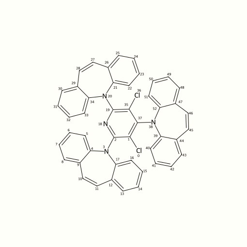 Clc1c(N2c3ccccc3C=Cc3ccccc32)nc(N2c3ccccc3C=Cc3ccccc32)c(Cl)c1N1c2ccccc2C=Cc2ccccc21